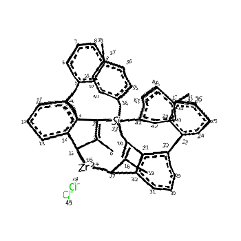 CC1=C2c3c(-c4ccccc4)cccc3[CH]1[Zr+2][CH]1C(C)=C(c3c(-c4ccccc4)cccc31)[Si]2(c1ccc(C)cc1)c1ccc(C)cc1.[Cl-].[Cl-]